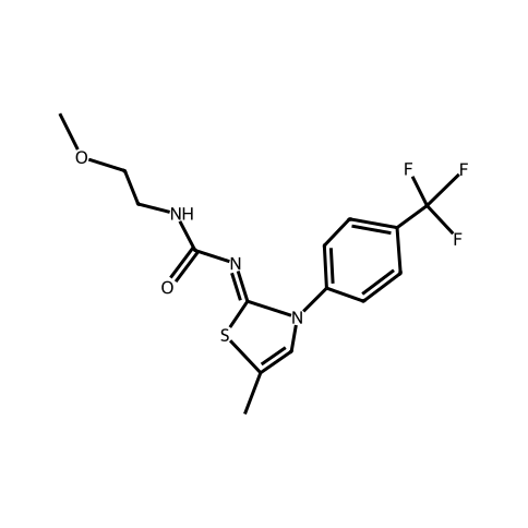 COCCNC(=O)N=c1sc(C)cn1-c1ccc(C(F)(F)F)cc1